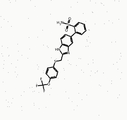 NS(=O)(=O)c1ccccc1-c1ccc2[nH]c(CSc3ccc(OC(F)(F)F)cc3)nc2c1